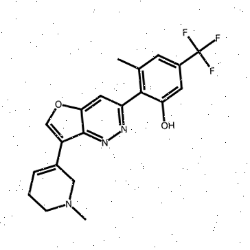 Cc1cc(C(F)(F)F)cc(O)c1-c1cc2occ(C3=CCCN(C)C3)c2nn1